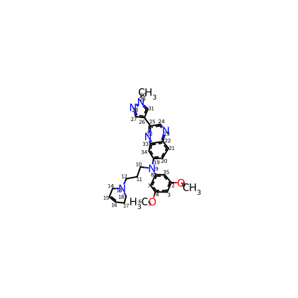 COc1cc(OC)cc(N(CCCN2CC=CCC2)c2ccc3ncc(-c4cnn(C)c4)nc3c2)c1